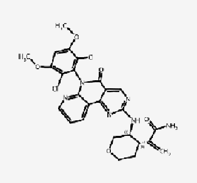 C=C(C(N)=O)[C@@H]1CCOC[C@H]1Nc1ncc2c(=O)n(-c3c(Cl)c(OC)cc(OC)c3Cl)c3ncccc3c2n1